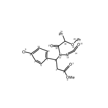 COC(=O)CC(c1ccc(Cl)cc1)N(N=C=O)C(=O)C(OC(C)C)C(C)C